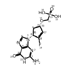 Nc1nc2c(ncn2[C@@H]2C[C@H](OCP(=O)(O)O)C=C2F)c(=O)[nH]1